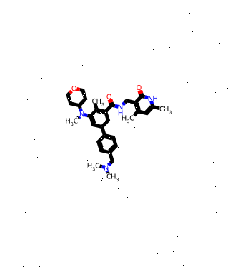 CC1=C(C(=O)NCc2c(C)cc(C)[nH]c2=O)CC(c2ccc(CN(C)C)cc2)C=C1N(C)C1CCOCC1